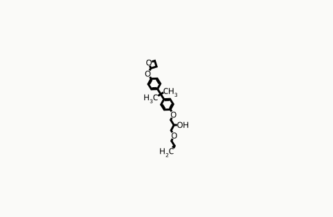 C=CCOCC(O)COc1ccc(C(C)(C)c2ccc(OC3CCO3)cc2)cc1